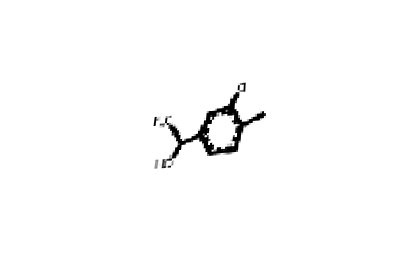 Cc1ccc(C(O)C(F)(F)F)cc1Cl